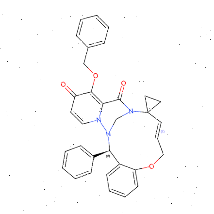 O=C1c2c(OCc3ccccc3)c(=O)ccn2N2CN1C1(/C=C/COc3ccccc3[C@H]2c2ccccc2)CC1